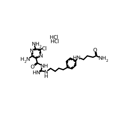 Cl.Cl.N=C(NCCCCc1ccc(NCCCC(N)=O)cc1)NC(=O)c1nc(Cl)c(N)nc1N